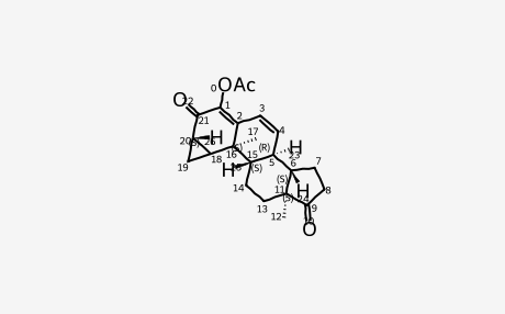 CC(=O)OC1=C2C=C[C@H]3[C@@H]4CCC(=O)[C@@]4(C)CC[C@@H]3[C@@]2(C)C2C[C@@H]2C1=O